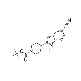 Cc1c(C2CCN(C(=O)OC(C)(C)C)CC2)[nH]c2ccc(C#N)cc12